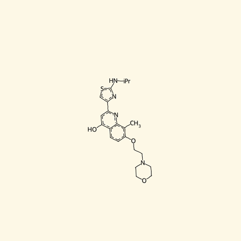 Cc1c(OCCN2CCOCC2)ccc2c(O)cc(-c3csc(NC(C)C)n3)nc12